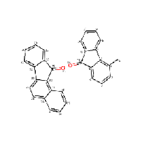 Cc1cccc2c1-c1ccccc1C2=O.O=C1c2ccccc2-c2ccc3ccccc3c21